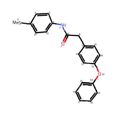 CSc1ccc(NC(=O)Cc2ccc(Oc3ccccc3)cc2)cc1